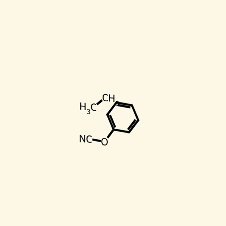 CC.N#COc1ccccc1